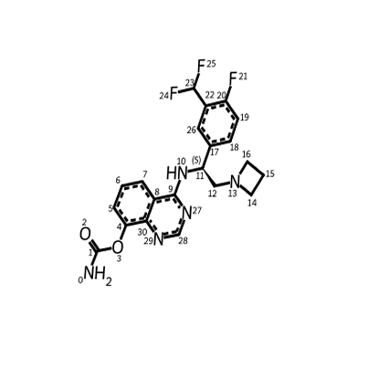 NC(=O)Oc1cccc2c(N[C@H](CN3CCC3)c3ccc(F)c(C(F)F)c3)ncnc12